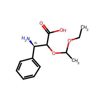 CCOC(C)OC(C(=O)O)[C@H](N)c1ccccc1